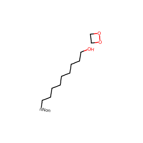 C1COO1.CCCCCCCCCCCCCCCCCCO